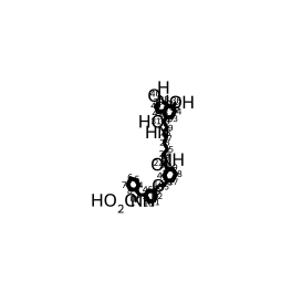 O=C(O)N[C@@H](c1ccccc1)c1cccc(OCc2cccc(C(=O)NCCCCNC[C@H](O)c3ccc(O)c4[nH]c(=O)ccc34)c2)c1